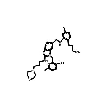 Cc1ccc(CCCO)c(NCc2ccc3nc(NCCCN4CCOCC4)n(Cc4nc(C)ccc4O)c3c2)c1